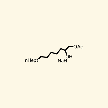 CCCCCCCCCCCCC(O)COC(C)=O.[NaH]